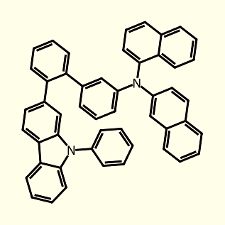 c1ccc(-n2c3ccccc3c3ccc(-c4ccccc4-c4cccc(N(c5ccc6ccccc6c5)c5cccc6ccccc56)c4)cc32)cc1